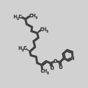 C/C(=C\C(=O)OC(=O)c1cccnc1)CCC[C@H](C)CCC[C@H](C)CCCC(C)C